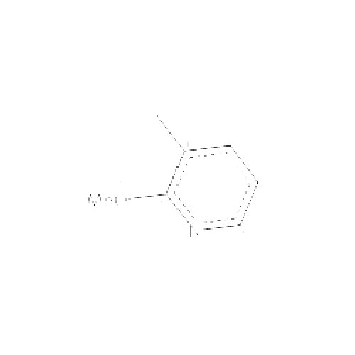 [CH2]c1cccnc1OC